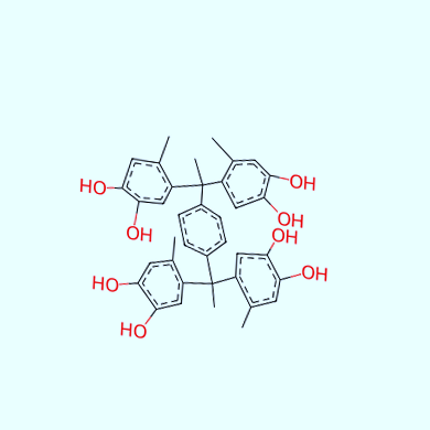 Cc1cc(O)c(O)cc1C(C)(c1ccc(C(C)(c2cc(O)c(O)cc2C)c2cc(O)c(O)cc2C)cc1)c1cc(O)c(O)cc1C